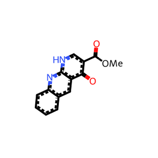 COC(=O)c1c[nH]c2nc3ccccc3cc2c1=O